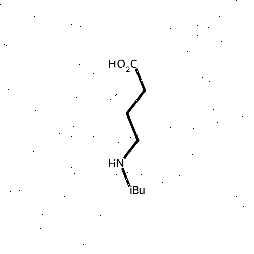 CCC(C)NCCCC(=O)O